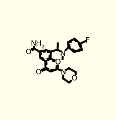 CC(c1cc(C(N)=O)cc2c(=O)cc(N3CCOCC3)oc12)N(C)c1ccc(F)cc1